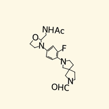 CC(=O)NCC1OCCN1c1ccc(N2CCC3(CCN(C=O)C3)C2)c(F)c1